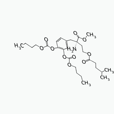 CCCCOC(=O)Oc1ccc(C[C@](N)(CCOC(=O)CCC(C)C)C(=O)OC)cc1OC(=O)OCCCC